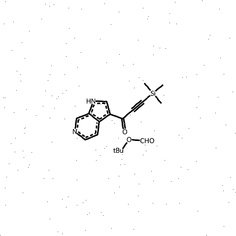 CC(C)(C)OC=O.C[Si](C)(C)C#CC(=O)c1c[nH]c2cnccc12